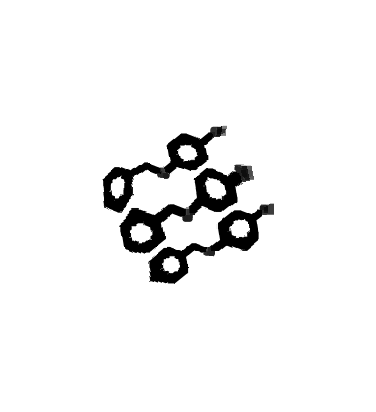 Oc1ccc(OCc2ccccc2)cc1.Oc1ccc(OCc2ccccc2)cc1.Oc1ccc(OCc2ccccc2)cc1